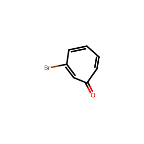 O=c1ccccc(Br)c1